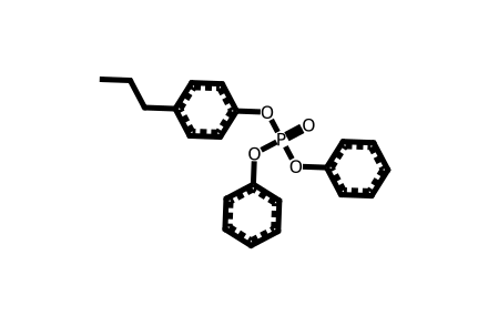 CCCc1ccc(OP(=O)(Oc2ccccc2)Oc2ccccc2)cc1